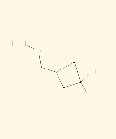 NOCC1CC(P)(I)C1